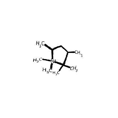 CC1CC(C)[N+](C)(C)C1(C)C